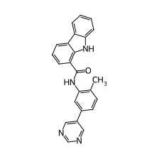 Cc1ccc(-c2cncnc2)cc1NC(=O)c1cccc2c1[nH]c1ccccc12